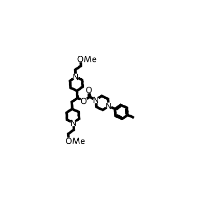 COCCN1CCC(CC(OC(=O)N2CCN(c3ccc(C)cc3)CC2)C2CCN(CCOC)CC2)CC1